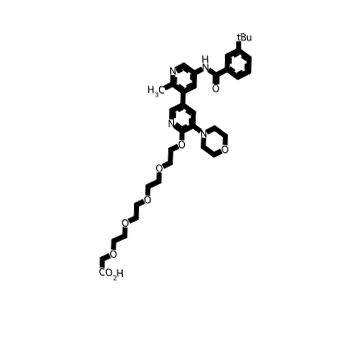 Cc1ncc(NC(=O)c2cccc(C(C)(C)C)c2)cc1-c1cnc(OCCOCCOCCOCCOCC(=O)O)c(N2CCOCC2)c1